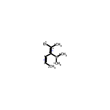 C/C=C\C(=C(\C)CC)N(C)C